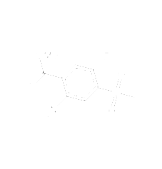 COC(=O)c1cc(F)c(S(C)(=O)=O)cc1[N+](=O)[O-]